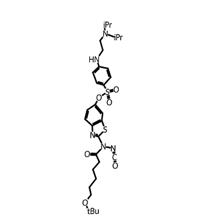 CC(C)N(CCNc1ccc(S(=O)(=O)Oc2ccc3nc(N(N=C=O)C(=O)CCCCCOC(C)(C)C)sc3c2)cc1)C(C)C